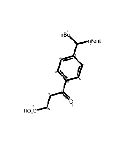 CCCCCC(CCCC)c1ccc(C(=O)CCC(=O)O)cc1